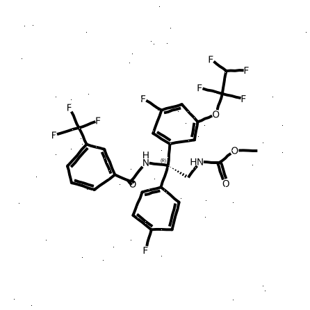 COC(=O)NC[C@@](NC(=O)c1cccc(C(F)(F)F)c1)(c1ccc(F)cc1)c1cc(F)cc(OC(F)(F)C(F)F)c1